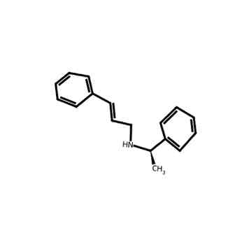 C[C@@H](NCC=Cc1ccccc1)c1ccccc1